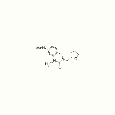 CNc1ccc2c(c1)N(C)C(=O)N(CC1CCCO1)C2